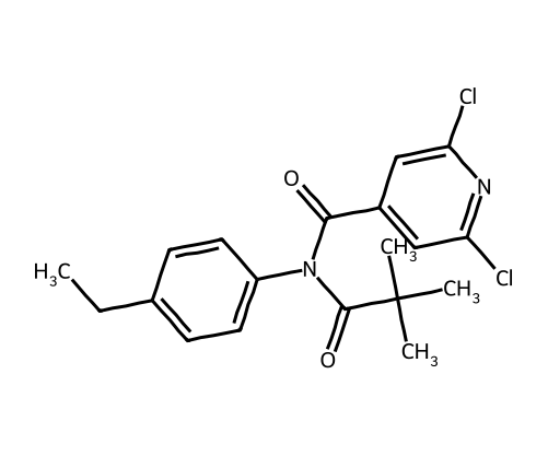 CCc1ccc(N(C(=O)c2cc(Cl)nc(Cl)c2)C(=O)C(C)(C)C)cc1